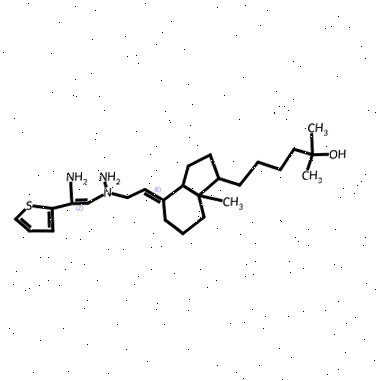 CC(C)(O)CCCCC1CCC2/C(=C/CN(N)/C=C(\N)c3cccs3)CCCC12C